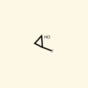 Cl.FC1CC1